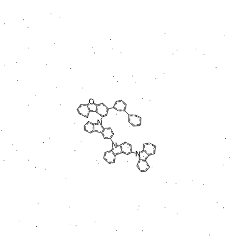 c1ccc(-c2cccc(-c3cc(-n4c5ccccc5c5cc(-n6c7ccccc7c7cc(-n8c9ccccc9c9ccccc98)ccc76)ccc54)c4c(c3)oc3ccccc34)c2)cc1